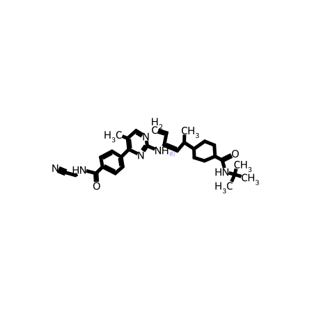 C=C/C(=C\C(C)C1CCC(C(=O)NC(C)(C)C)CC1)Nc1ncc(C)c(-c2ccc(C(=O)NCC#N)cc2)n1